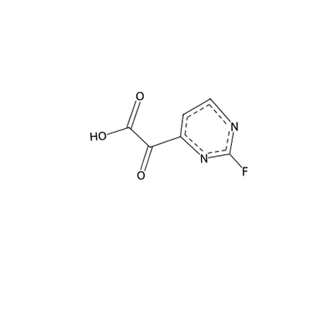 O=C(O)C(=O)c1ccnc(F)n1